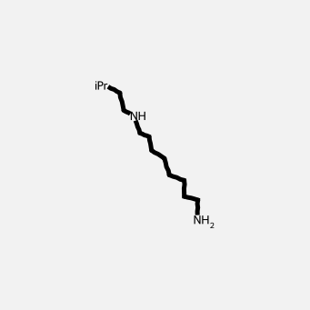 CC(C)CCNCCCCCCCCN